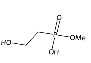 COP(=O)(O)C[CH]O